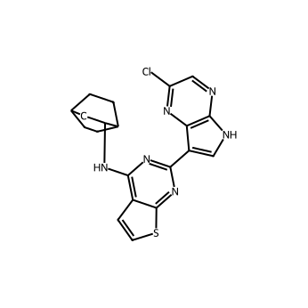 Clc1cnc2[nH]cc(-c3nc(NC4CC5CCC4CC5)c4ccsc4n3)c2n1